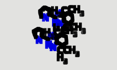 CC1(C)CCC(C)(C)c2nc(-c3ccccn3)nnc21.CC1(C)CCC(C)(C)c2nc(-c3ccccn3)nnc21